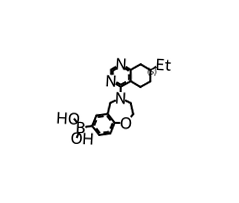 CC[C@H]1CCc2c(ncnc2N2CCOc3ccc(B(O)O)cc3C2)C1